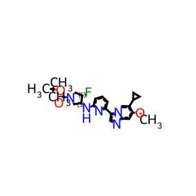 COc1cc2ncc(-c3cccc(N[C@H]4CN(C(=O)OC(C)(C)C)C[C@@H]4F)n3)n2cc1C1CC1